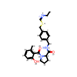 CC/N=C\SCc1ccc(CNC(=O)C2CCCN2C(=O)c2c(C)cccc2O)cc1